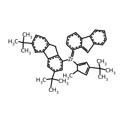 CC1C=C(C(C)(C)C)C=[C]1[Zr]([c]1cc(C(C)(C)C)cc2c1Cc1ccc(C(C)(C)C)cc1-2)=[c]1cccc2c1=Cc1ccccc1-2